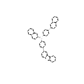 c1ccc2cc(-c3ccc(N(c4ccc(-c5ccc6sc7ccccc7c6c5)cc4)c4ccc5ccccc5c4)cc3)ccc2c1